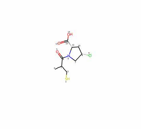 CC(CS)C(=O)N1C[C@@H](Cl)C[C@H]1C(=O)O